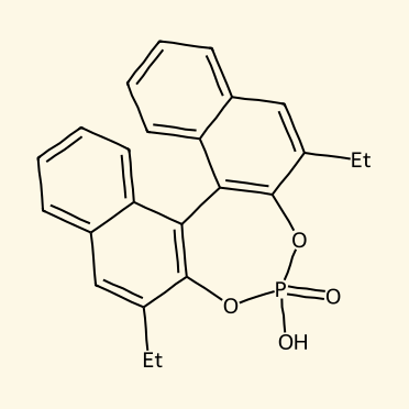 CCc1cc2ccccc2c2c1OP(=O)(O)Oc1c(CC)cc3ccccc3c1-2